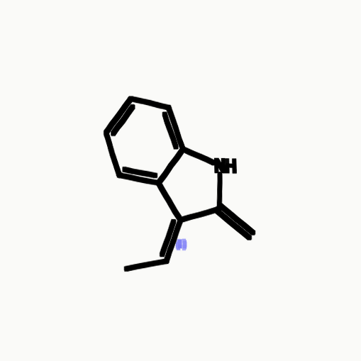 C=c1[nH]c2ccccc2/c1=C\C